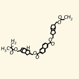 C=CC(=O)OCC1CC2CC1C1CC(COC(=O)c3ccc4cc(C(=O)OCC5CC6C7CC(CC7COC(=O)C(=C)C)[C@H]6C5)ccc4c3)CC21